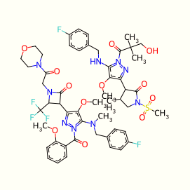 COc1c(C2C(=O)N(S(C)(=O)=O)CC2C)nn(C(=O)C(C)(C)CO)c1NCc1ccc(F)cc1.COc1ccccc1C(=O)n1nc(C2C(=O)N(CC(=O)N3CCOCC3)C2C(F)(F)F)c(OC)c1N(C)Cc1ccc(F)cc1